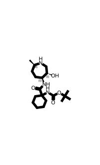 C[C@@H]1CC[C@H](NC(=O)C2(NC(=O)OC(C)(C)C)CCCCC2)[C@@H](O)CN1